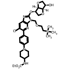 CCOC(=O)NC1CCN(c2ccc(-c3nc4c(cc3Cl)nc(O[C@@H]3CO[C@H]5[C@@H]3OC[C@H]5O)n4COCC[Si](C)(C)C)cc2)CC1